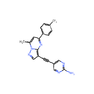 Cc1cc(-c2ccc(C(F)(F)F)cc2)nc2c(C#Cc3cnc(N)nc3)cnn12